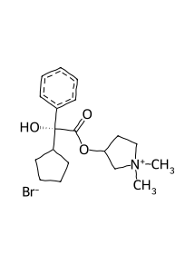 C[N+]1(C)CCC(OC(=O)[C@](O)(c2ccccc2)C2CCCC2)C1.[Br-]